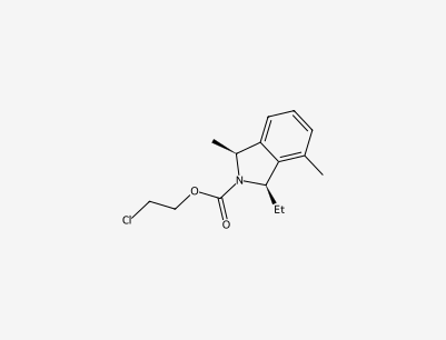 CC[C@@H]1c2c(C)cccc2[C@H](C)N1C(=O)OCCCl